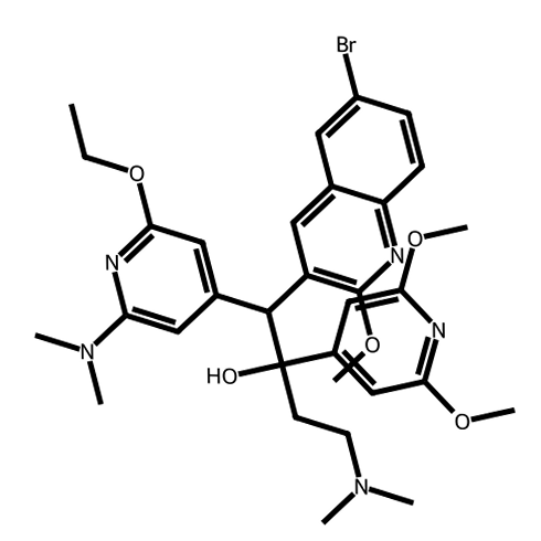 CCOc1cc(C(c2cc3cc(Br)ccc3nc2OC)C(O)(CCN(C)C)c2cc(OC)nc(OC)c2)cc(N(C)C)n1